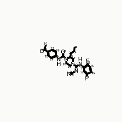 CCCC1CN(/C(=N\C#N)Nc2cc(F)ccc2F)CCN1C(=O)Nc1ccc(C(C)=O)cc1